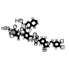 CCCCN(CCCC)C(=O)c1nn(-c2ccc(C(=O)NS(=O)(=O)c3ccc4c(c3)c(Br)cn4Cc3ccc(Cl)c(Cl)c3)cc2C(=O)N2Cc3ccccc3C[C@H]2CO)c(C)c1Cl